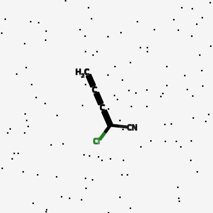 C=C=C=C(Cl)C#N